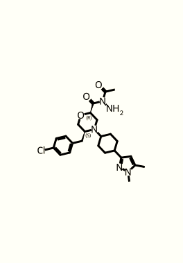 CC(=O)N(N)C(=O)[C@H]1CN(C2CCC(c3cc(C)n(C)n3)CC2)[C@@H](Cc2ccc(Cl)cc2)CO1